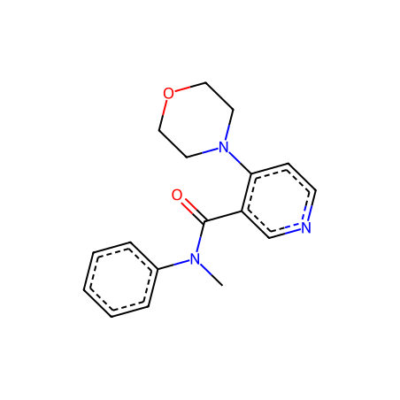 CN(C(=O)c1cnccc1N1CCOCC1)c1ccccc1